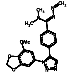 C=N/N=C(/c1ccc(-c2cnnn2-c2cc(OC)c3c(c2)OCO3)cc1)N(C)C